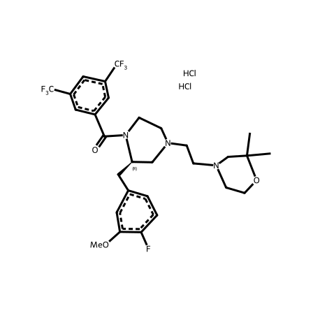 COc1cc(C[C@@H]2CN(CCN3CCOC(C)(C)C3)CCN2C(=O)c2cc(C(F)(F)F)cc(C(F)(F)F)c2)ccc1F.Cl.Cl